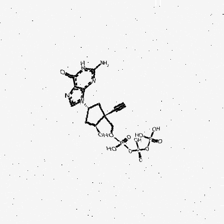 C#C[C@]1(COP(=O)(O)OP(=O)(O)OP(=O)(O)O)C[C@@H](n2cnc3c(=O)[nH]c(N)nc32)C[C@@H]1O